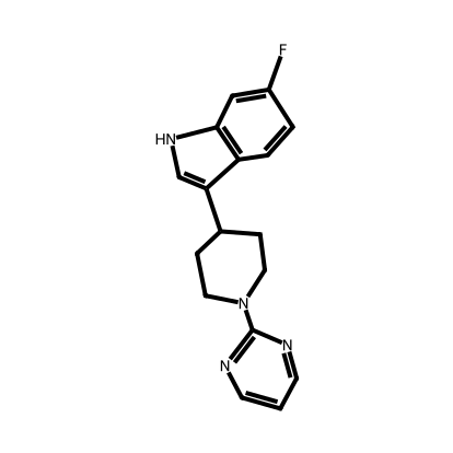 Fc1ccc2c(C3CCN(c4ncccn4)CC3)c[nH]c2c1